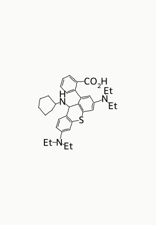 CCN(CC)c1ccc2c(c1)Sc1cc(N(CC)CC)cc(-c3ccccc3C(=O)O)c1C2NC1CCCCC1